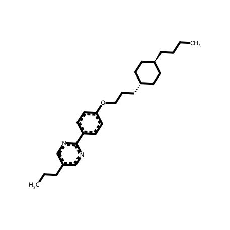 CCCC[C@H]1CC[C@H](CCCOc2ccc(-c3ncc(CCC)cn3)cc2)CC1